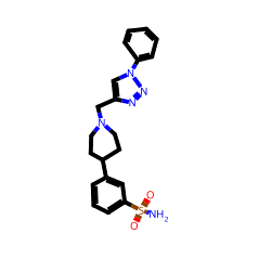 NS(=O)(=O)c1cccc(C2CCN(Cc3cn(-c4ccccc4)nn3)CC2)c1